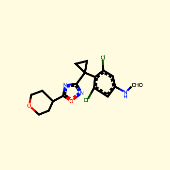 O=CNc1cc(Cl)c(C2(c3noc(C4CCOCC4)n3)CC2)c(Cl)c1